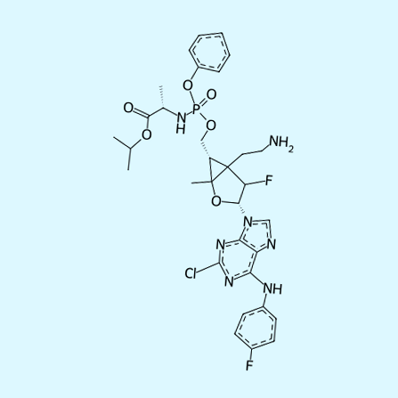 CC(C)OC(=O)[C@H](C)NP(=O)(OC[C@H]1C2(C)O[C@@H](n3cnc4c(Nc5ccc(F)cc5)nc(Cl)nc43)C(F)C12CCN)Oc1ccccc1